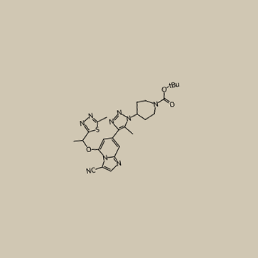 Cc1nnc(C(C)Oc2cc(-c3nnn(C4CCN(C(=O)OC(C)(C)C)CC4)c3C)cc3ncc(C#N)n23)s1